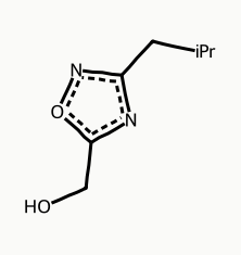 CC(C)Cc1noc(CO)n1